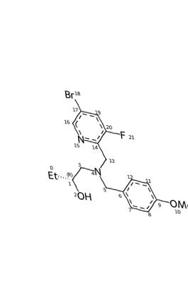 CC[C@@H](O)CN(Cc1ccc(OC)cc1)Cc1ncc(Br)cc1F